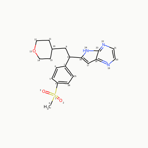 CS(=O)(=O)c1ccc(C(CC2CCOCC2)c2cc3nccnc3[nH]2)cc1